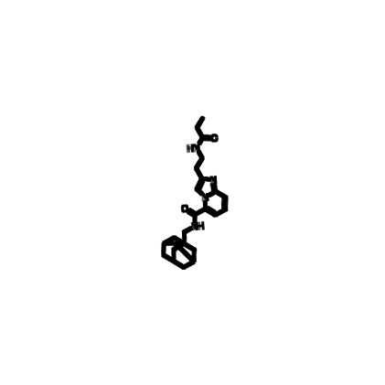 CCC(=O)NCCc1cn2c(C(=O)NCC34CC5CC(CC(C5)C3)C4)cccc2n1